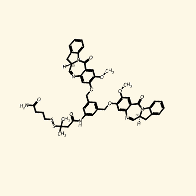 COc1cc2c(cc1OCc1cc(COc3cc4c(cc3OC)C(=O)N3c5ccccc5C[C@H]3C=N4)cc(NC(=O)CC(C)(C)SSCCCC(N)=O)c1)N=C[C@@H]1Cc3ccccc3N1C2=O